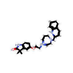 CC1(C)C(=O)Nc2ccc(OCCN3CCCN(Cc4ccc5ccccc5n4)CC3)cc21